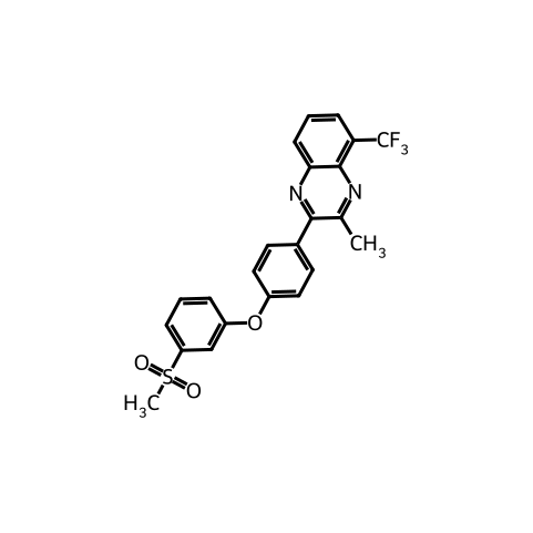 Cc1nc2c(C(F)(F)F)cccc2nc1-c1ccc(Oc2cccc(S(C)(=O)=O)c2)cc1